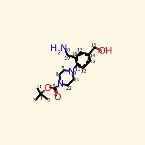 CC(C)(C)OC(=O)N1CCN(c2ccc(CO)cc2CN)CC1